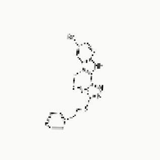 CCc1c(-c2nnc(SCCc3ccccc3)o2)[nH]c2ccc(Br)cc12